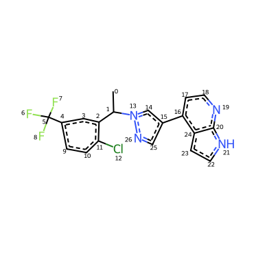 CC(c1cc(C(F)(F)F)ccc1Cl)n1cc(-c2ccnc3[nH]ccc23)cn1